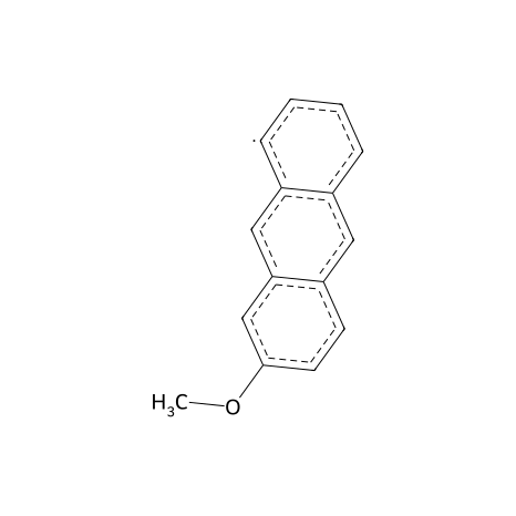 COc1ccc2cc3ccc[c]c3cc2c1